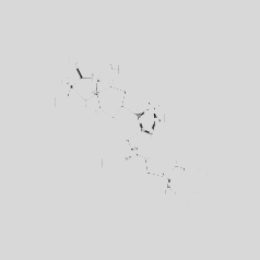 CCC1(CC)CC2(CCC(c3n[nH]cc3CN(C)CCN(CC(C)(C)C)C(=O)O)CC2)N(C)C1=O